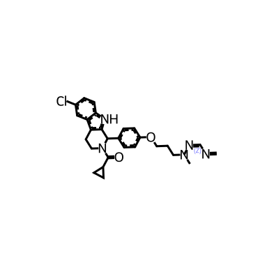 C=N/C=N\N(C)CCCOc1ccc(C2c3[nH]c4ccc(Cl)cc4c3CCN2C(=O)C2CC2)cc1